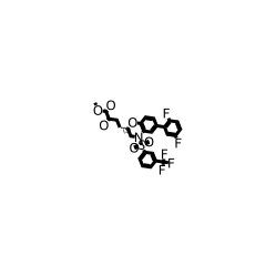 COC(=O)C(=O)CC[C@H]1CN(S(=O)(=O)c2cccc(C(F)(F)F)c2)c2cc(-c3cc(F)ccc3F)ccc2O1